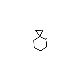 C1CCC2(CC2)SC1